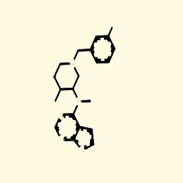 CC1CCN(Cc2cccc(C(=O)O)c2)CC1N(C)c1ncnc2[nH]ccc12